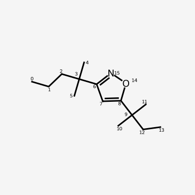 CCCC(C)(C)c1cc(C(C)(C)CC)on1